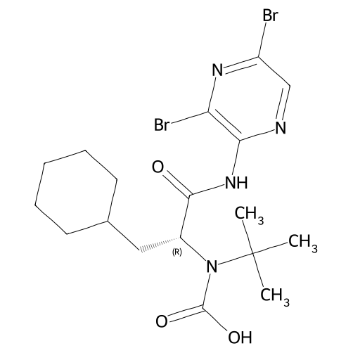 CC(C)(C)N(C(=O)O)[C@H](CC1CCCCC1)C(=O)Nc1ncc(Br)nc1Br